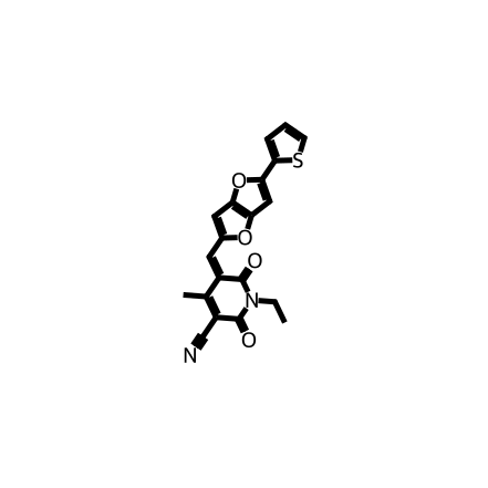 CCN1C(=O)C(C#N)=C(C)/C(=C/c2cc3oc(-c4cccs4)cc3o2)C1=O